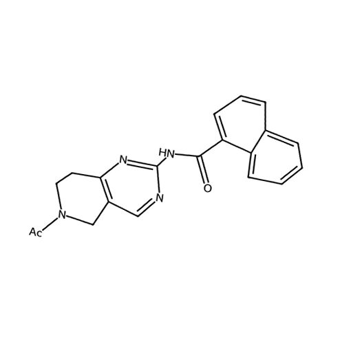 CC(=O)N1CCc2nc(NC(=O)c3cccc4ccccc34)ncc2C1